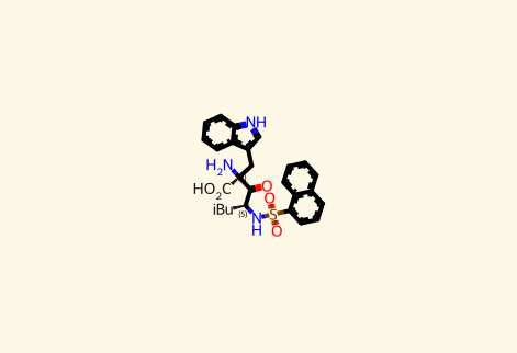 CCC(C)[C@H](NS(=O)(=O)c1cccc2ccccc12)C(=O)[C@](N)(Cc1c[nH]c2ccccc12)C(=O)O